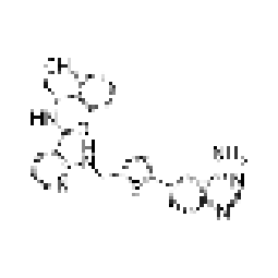 CC[C@H](NC(=O)c1cccnc1NCc1ccc(-c2ccc3ncnc(N)c3c2)s1)c1ccccc1